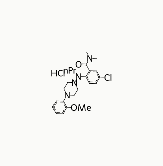 CCCN(c1ccc(Cl)cc1C(=O)N(C)C)N1CCN(c2ccccc2OC)CC1.Cl